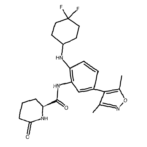 Cc1noc(C)c1-c1ccc(NC2CCC(F)(F)CC2)c(NC(=O)[C@@H]2CCCC(=O)N2)c1